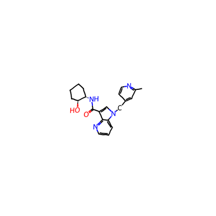 Cc1cc(Cn2cc(C(=O)N[C@H]3CCCC[C@@H]3O)c3ncccc32)ccn1